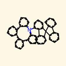 c1ccc2c(c1)-c1ccccc1C21c2ccccc2-c2c(-n3c4ccccc4c4ccccc4c4ccccc4c4ccccc43)cccc21